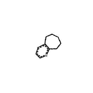 [c]1ccnc2c1CCCCC2